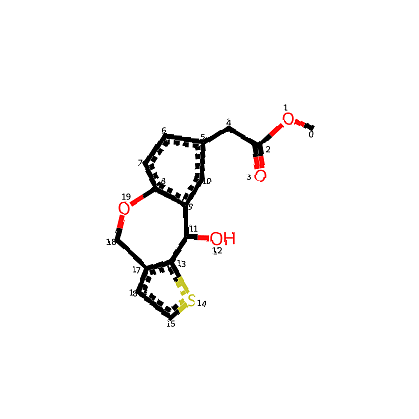 COC(=O)Cc1ccc2c(c1)C(O)c1sccc1CO2